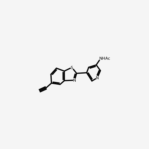 C#Cc1ccc2sc(-c3cncc(NC(C)=O)c3)nc2c1